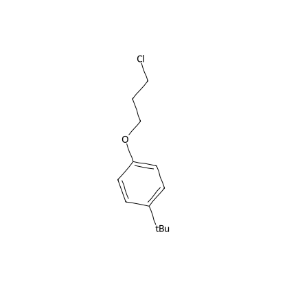 CC(C)(C)c1ccc(OCCCCl)cc1